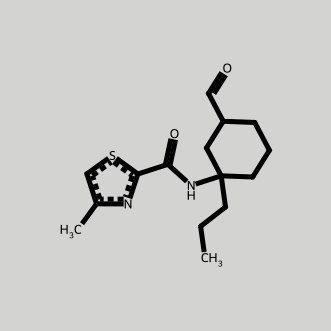 CCCC1(NC(=O)c2nc(C)cs2)CCCC(C=O)C1